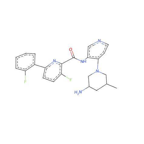 CC1CC(N)CN(c2ccncc2NC(=O)c2nc(-c3ccccc3F)ccc2F)C1